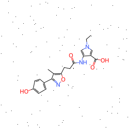 CCn1cc(NC(=O)CCc2onc(-c3ccc(O)cc3)c2C)c(C(=O)O)c1